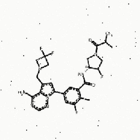 Cc1c(F)cc(-c2cc(CN3CC(F)(F)C3)c3c(N)ncnn23)cc1C(=O)N[C@@H]1CN(C(=O)C(C)C(F)(F)F)CC1F